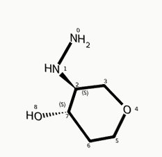 NN[C@H]1COCC[C@@H]1O